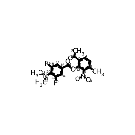 CC(=O)c1ccc(C)c([N+](=O)[O-])c1OC(=O)c1cc(F)c(N(C)C)c(F)c1